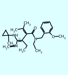 C=N/C(NC1(C)CC1)=C(\CC)C(C(=O)N(CC)Cc1ccccc1OC)=C(C)C